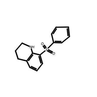 O=S(=O)(c1ccccc1)c1cccc2c1NCCC2